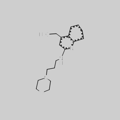 CCc1cc(NCCCN2CCOCC2)nc2ccccc12